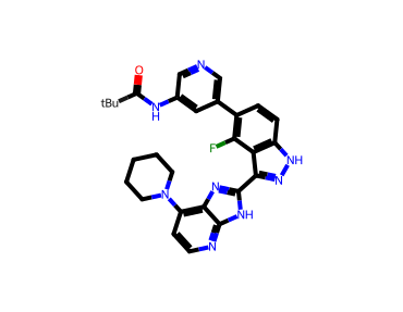 CC(C)(C)C(=O)Nc1cncc(-c2ccc3[nH]nc(-c4nc5c(N6CCCCC6)ccnc5[nH]4)c3c2F)c1